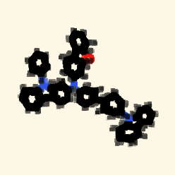 c1ccc(-n2c3ccccc3c3ccc(N(c4ccc(-c5ccc(-n6c7ccccc7c7ccccc76)cc5)cc4)c4ccc5c(c4)oc4ccccc45)cc32)cc1